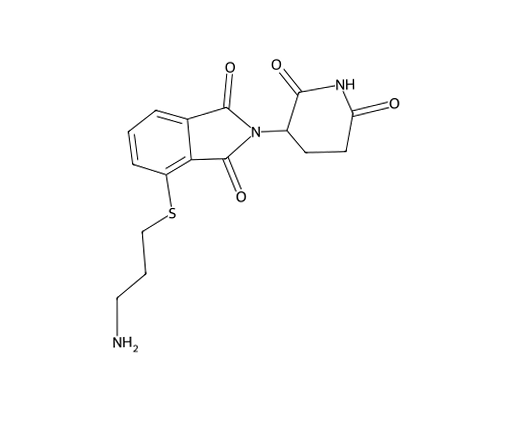 NCCCSc1cccc2c1C(=O)N(C1CCC(=O)NC1=O)C2=O